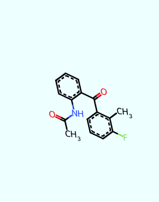 CC(=O)Nc1ccccc1C(=O)c1cccc(F)c1C